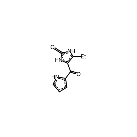 CCc1[nH]c(=O)[nH]c1C(=O)c1ccc[nH]1